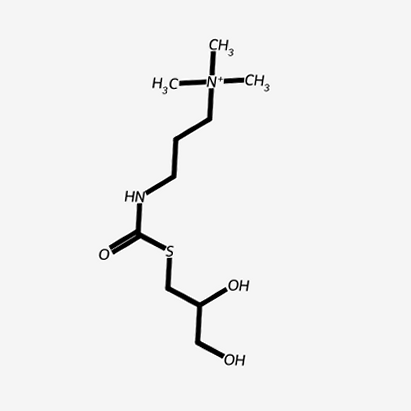 C[N+](C)(C)CCCNC(=O)SCC(O)CO